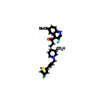 COc1ccc2ncc(F)c(C(=O)CC[C@H]3CCN(CC#Cc4cc(F)cs4)C[C@H]3C(=O)O)c2c1